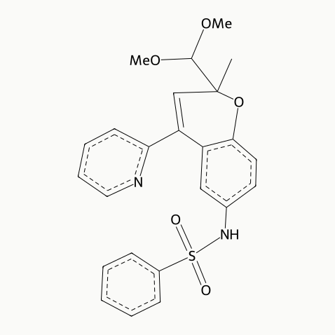 COC(OC)C1(C)C=C(c2ccccn2)c2cc(NS(=O)(=O)c3ccccc3)ccc2O1